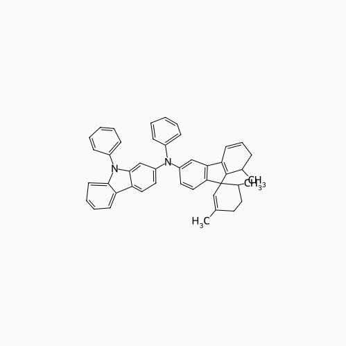 CC1=CC2(C3=C(C=CCC3C)c3cc(N(c4ccccc4)c4ccc5c6ccccc6n(-c6ccccc6)c5c4)ccc32)C(C)CC1